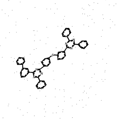 c1ccc(-c2cccc(-c3nc(-c4ccccc4)nc(-c4ccc(Sc5cccc(-c6nc(-c7ccccc7)nc(-c7ccccc7)n6)c5)cc4)n3)c2)cc1